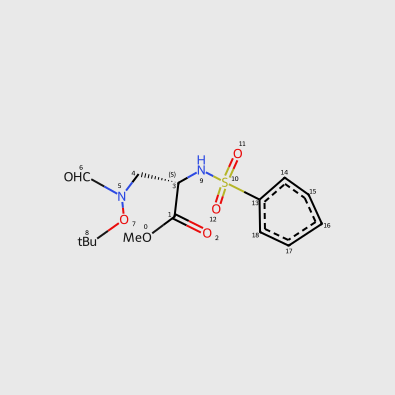 COC(=O)[C@H](CN(C=O)OC(C)(C)C)NS(=O)(=O)c1ccccc1